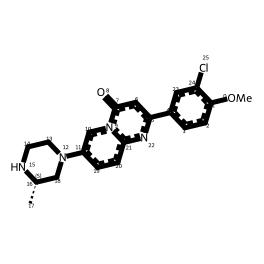 COc1ccc(-c2cc(=O)n3cc(N4CCN[C@@H](C)C4)ccc3n2)cc1Cl